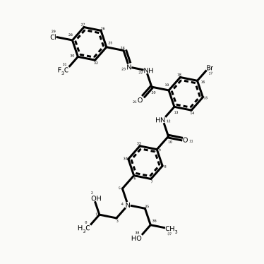 CC(O)CN(Cc1ccc(C(=O)Nc2ccc(Br)cc2C(=O)N/N=C/c2ccc(Cl)c(C(F)(F)F)c2)cc1)CC(C)O